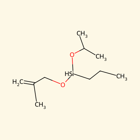 C=C(C)CO[SiH](CCC)OC(C)C